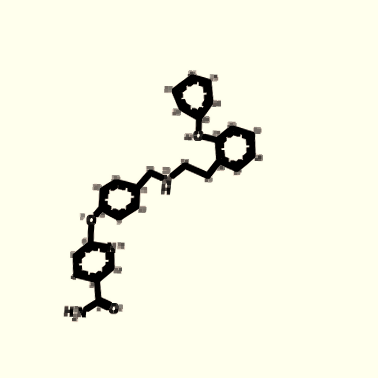 NC(=O)c1ccc(Oc2ccc(CNCCc3ccccc3Oc3ccccc3)cc2)nc1